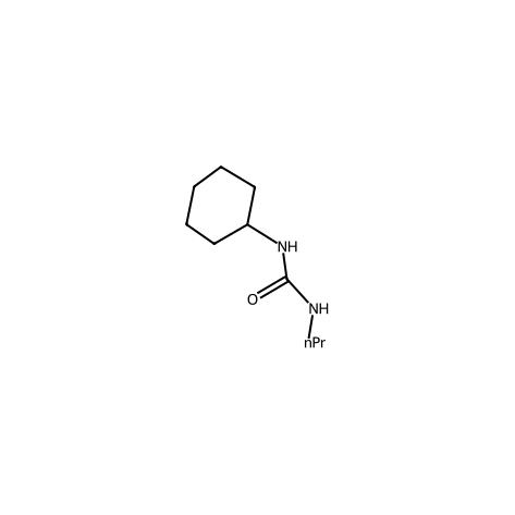 CCCNC(=O)NC1CCCCC1